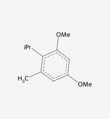 COc1cc(C)c(C(C)C)c(OC)c1